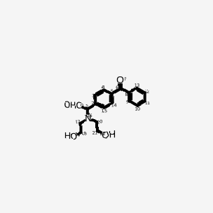 O=CC(c1ccc(C(=O)c2ccccc2)cc1)N(CCO)CCO